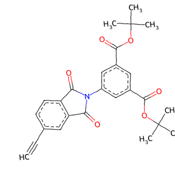 C#Cc1ccc2c(c1)C(=O)N(c1cc(C(=O)OC(C)(C)C)cc(C(=O)OC(C)(C)C)c1)C2=O